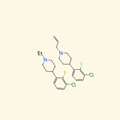 C=CCN1CCC(c2cccc(Cl)c2F)CC1.CCN1CCC(c2cccc(Cl)c2F)CC1